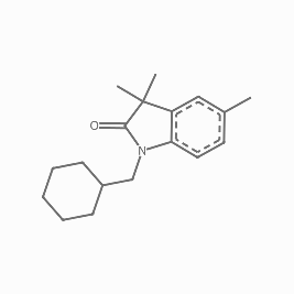 Cc1ccc2c(c1)C(C)(C)C(=O)N2CC1CCCCC1